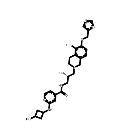 Cc1c(OCc2cnco2)ccc2c1CCN(C[C@@H](O)CNC(=O)c1ccnc(NC3CC(O)C3)c1)C2